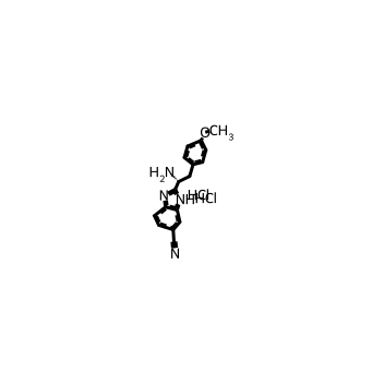 COc1ccc(C[C@@H](N)c2nc3ccc(C#N)cc3[nH]2)cc1.Cl.Cl